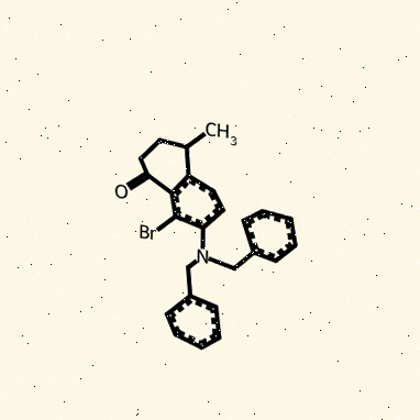 CC1CCC(=O)c2c1ccc(N(Cc1ccccc1)Cc1ccccc1)c2Br